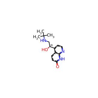 CC(C)(C)NC[C@H](O)c1ccnc2[nH]c(=O)ccc12